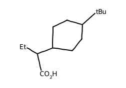 CCC(C(=O)O)C1CCC(C(C)(C)C)CC1